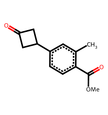 COC(=O)c1ccc(C2CC(=O)C2)cc1C